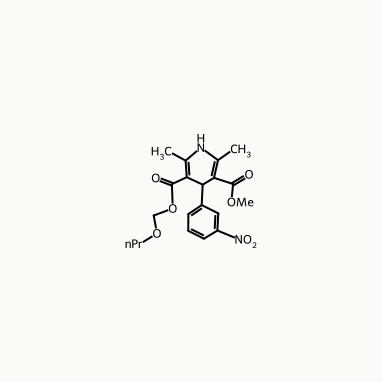 CCCOCOC(=O)C1=C(C)NC(C)=C(C(=O)OC)C1c1cccc([N+](=O)[O-])c1